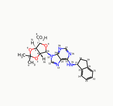 CC1(C)O[C@@H]2[C@@H](O1)[C@H](C(=O)O)O[C@H]2n1cnc2c(N[C@H]3CCc4ccccc43)ncnc21